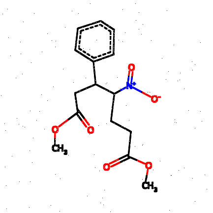 COC(=O)CCC(C(CC(=O)OC)c1ccccc1)[N+](=O)[O-]